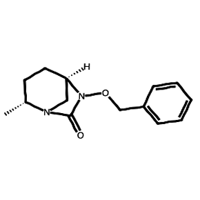 C[C@@H]1CC[C@@H]2CN1C(=O)N2OCc1ccccc1